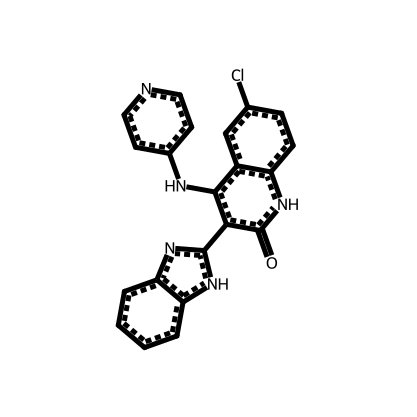 O=c1[nH]c2ccc(Cl)cc2c(Nc2ccncc2)c1-c1nc2ccccc2[nH]1